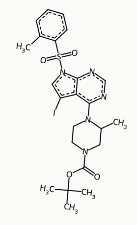 Cc1ccccc1S(=O)(=O)n1cc(I)c2c(N3CCN(C(=O)OC(C)(C)C)CC3C)ncnc21